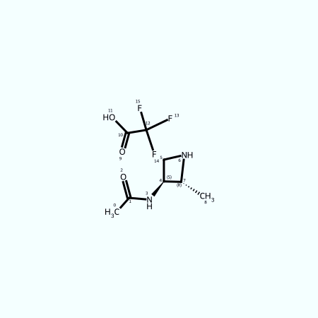 CC(=O)N[C@H]1CN[C@@H]1C.O=C(O)C(F)(F)F